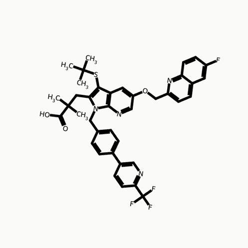 CC(C)(C)Sc1c(CC(C)(C)C(=O)O)n(Cc2ccc(-c3ccc(C(F)(F)F)nc3)cc2)c2ncc(OCc3ccc4cc(F)ccc4n3)cc12